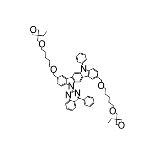 CCC1(COCCCCCOCc2ccc3c(c2)c2cc4c(cc2n3-c2ccccc2)c2cc(COCCCCCOCC3(CC)COC3)ccc2n4-c2nc(-c3ccccc3)c3ccccc3n2)COC1